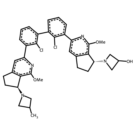 COc1nc(-c2cccc(-c3cccc(-c4cc5c(c(OC)n4)[C@@H](N4CC(C)C4)CC5)c3Cl)c2Cl)cc2c1[C@H](N1CC(O)C1)CC2